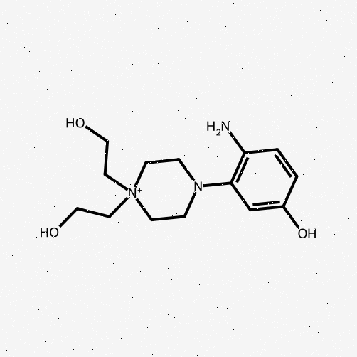 Nc1ccc(O)cc1N1CC[N+](CCO)(CCO)CC1